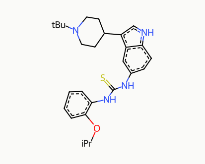 CC(C)Oc1ccccc1NC(=S)Nc1ccc2[nH]cc(C3CCN(C(C)(C)C)CC3)c2c1